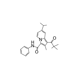 Cc1c(C(=O)C(C)(C)C)c2cc(C(C)C)ccn2c1C(=O)Nc1ccccc1